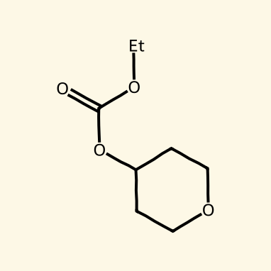 CCOC(=O)OC1CCOCC1